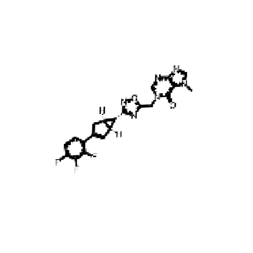 Cn1cnc2ncn(Cc3nc([C@@H]4[C@H]5C=C(c6ccc(F)c(F)c6F)C[C@H]54)no3)c(=O)c21